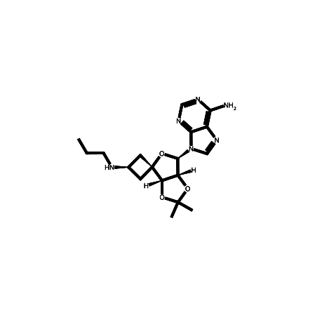 CCCN[C@H]1C[C@@]2(C1)O[C@@H](n1cnc3c(N)ncnc31)[C@@H]1OC(C)(C)O[C@@H]12